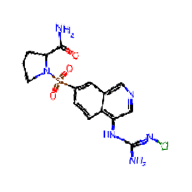 NC(=O)C1CCCN1S(=O)(=O)c1ccc2c(NC(N)=NCl)cncc2c1